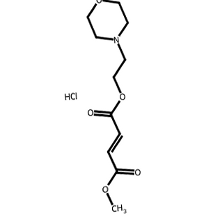 COC(=O)/C=C/C(=O)OCCN1CCOCC1.Cl